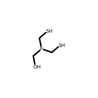 OCP(CS)CS